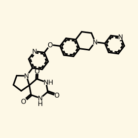 O=C1NC(=O)C2(CCCN2c2ccc(Oc3ccc4c(c3)CCN(c3cccnc3)C4)nc2)C(=O)N1